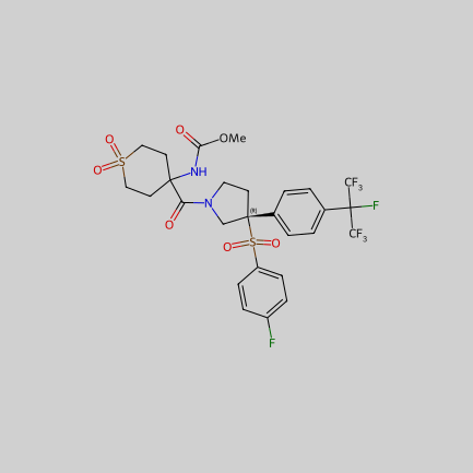 COC(=O)NC1(C(=O)N2CC[C@](c3ccc(C(F)(C(F)(F)F)C(F)(F)F)cc3)(S(=O)(=O)c3ccc(F)cc3)C2)CCS(=O)(=O)CC1